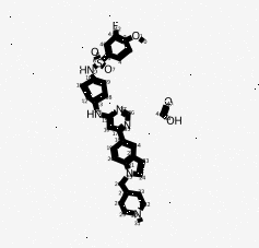 COc1ccc(S(=O)(=O)Nc2ccc(Nc3cc(-c4ccc5c(ccn5CC5CCN(C)CC5)c4)ncn3)cc2)cc1F.O=CO